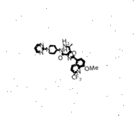 COc1ccc(-c2nc(C(=O)NC3CCN(c4ncccn4)CC3)c([C@H](C)N)o2)c2ccc(C(F)(F)F)nc12